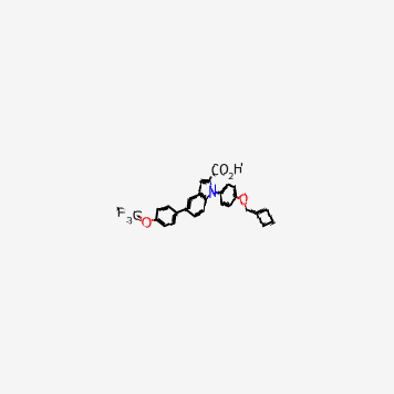 O=C(O)c1cc2cc(-c3ccc(OC(F)(F)F)cc3)ccc2n1-c1ccc(OCC2CCC2)cc1